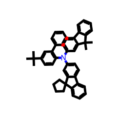 CC(C)(C)c1ccc(N(c2ccc3c(c2)C(C)(C)c2ccccc2-3)c2ccc3c(c2)C2(CCCC2)c2ccccc2-3)c(-c2ccccc2)c1